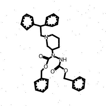 O=C(NN(C(=O)OCc1ccccc1)C1CCCN(CC(c2ccccc2)c2ccccc2)C1)OCc1ccccc1